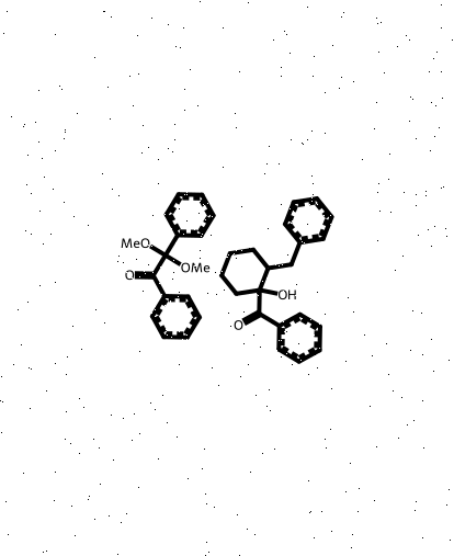 COC(OC)(C(=O)c1ccccc1)c1ccccc1.O=C(c1ccccc1)C1(O)CCCCC1Cc1ccccc1